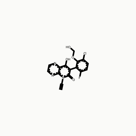 C#Cn1c(=O)c(-c2c(F)ccc(Cl)c2OCO)c(O)c2nccnc21